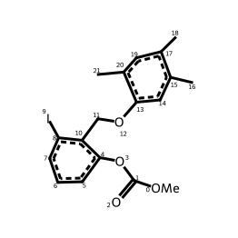 COC(=O)Oc1cccc(I)c1COc1cc(C)c(C)cc1C